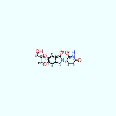 O=C1CC[C@H](N2Cc3cc4c(cc3C2=O)O[C@H](CO)CO4)C(=O)N1